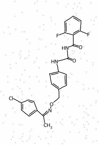 CC(=NOCc1ccc(NC(=O)NC(=O)c2c(F)cccc2F)cc1)c1ccc(Cl)cc1